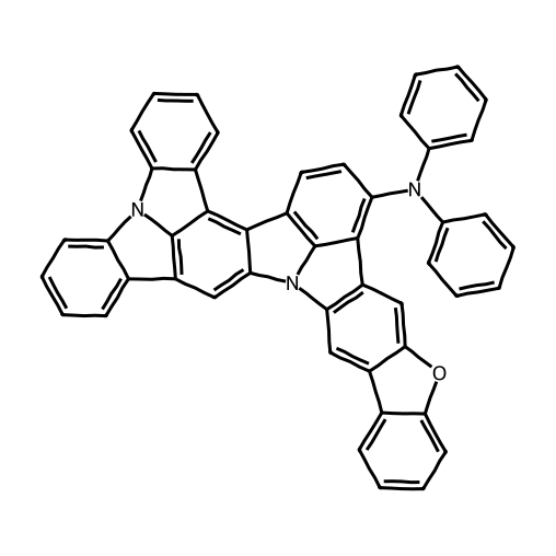 c1ccc(N(c2ccccc2)c2ccc3c4c5c6ccccc6n6c7ccccc7c(cc4n4c7cc8c(cc7c2c34)oc2ccccc28)c56)cc1